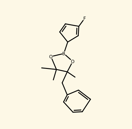 CC1(C)OB(C2C=CC(F)=C2)OC1(C)Cc1ccccc1